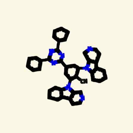 N#Cc1c(-n2c3ccccc3c3ccncc32)cc(-c2nc(-c3ccccc3)nc(-c3ccccc3)n2)cc1-n1c2ccccc2c2ccncc21